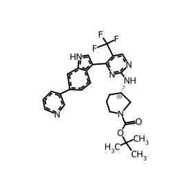 CC(C)(C)OC(=O)N1CCC[C@H](Nc2ncc(C(F)(F)F)c(-c3c[nH]c4cc(-c5cccnc5)ccc34)n2)C1